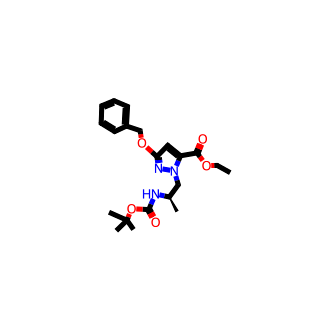 CCOC(=O)c1cc(OCc2ccccc2)nn1C[C@@H](C)NC(=O)OC(C)(C)C